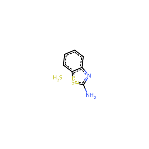 Nc1nc2ccccc2s1.S